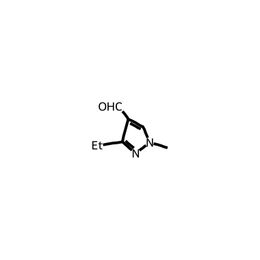 CCc1nn(C)cc1C=O